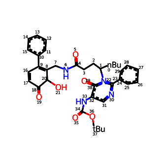 CCCCC(CCC(=O)NCC1=C(c2ccccc2)C=CC(=O)C1O)n1c(-c2ccccc2)ncc(NC(=O)OC(C)(C)C)c1=O